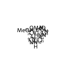 COc1ccc(-c2ccnc(Nc3cccc(Nc4ncnc5onc(C)c45)c3)n2)cc1OC